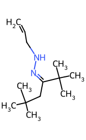 C=CCNN=C(CC(C)(C)C)C(C)(C)C